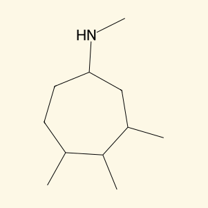 CNC1CCC(C)C(C)C(C)C1